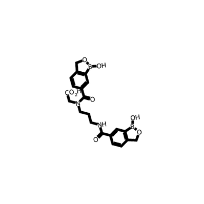 O=C(O)CN(CCCNC(=O)c1ccc2c(c1)B(O)OC2)C(=O)c1ccc2c(c1)B(O)OC2